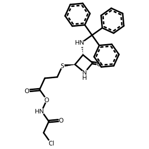 O=C(CCl)NOC(=O)CCS[C@@H]1NC(=O)[C@H]1NC(c1ccccc1)(c1ccccc1)c1ccccc1